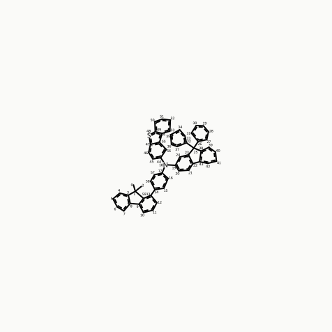 CC1(C)c2ccccc2-c2cccc(-c3ccc(N(c4ccc5c(c4)C(c4ccccc4)(c4ccccc4)c4ccccc4-5)c4ccc5sc6ccccc6c5c4)cc3)c21